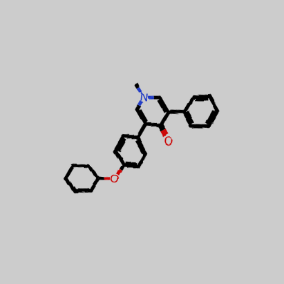 Cn1cc(-c2ccccc2)c(=O)c(-c2ccc(OC3CCCCC3)cc2)c1